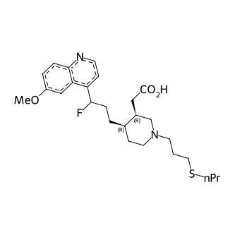 CCCSCCCN1CC[C@@H](CCC(F)c2ccnc3ccc(OC)cc23)[C@@H](CC(=O)O)C1